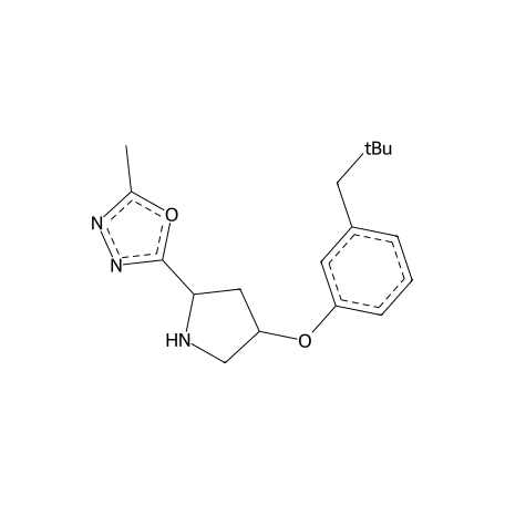 Cc1nnc(C2CC(Oc3cccc(CC(C)(C)C)c3)CN2)o1